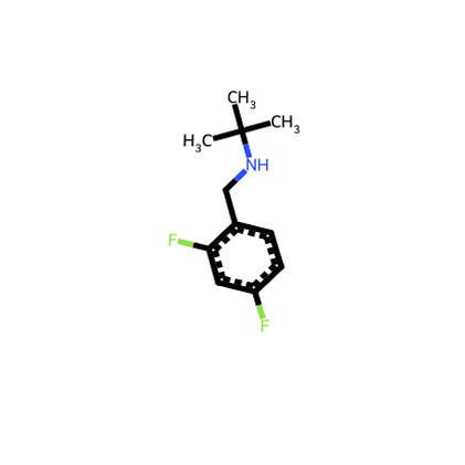 CC(C)(C)NCc1ccc(F)cc1F